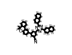 CC1(C)Oc2ccc(-c3cc(C#N)cc(-c4nc(-c5ccc6ccccc6c5)nc(-c5ccc6ccccc6c5)n4)c3)cc2-c2ccccc21